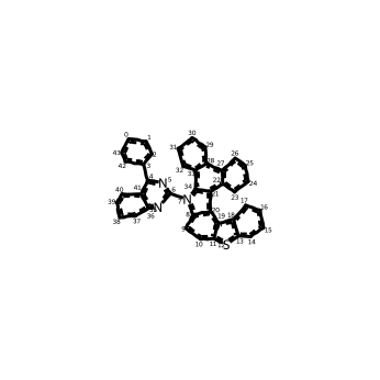 c1ccc(-c2nc(-n3c4ccc5sc6ccccc6c5c4c4c5ccccc5c5ccccc5c43)nc3ccccc23)cc1